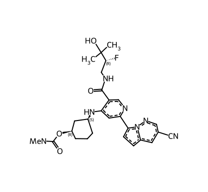 CNC(=O)O[C@@H]1CCC[C@H](Nc2cc(-c3ccc4cc(C#N)cnn34)ncc2C(=O)NC[C@@H](F)C(C)(C)O)C1